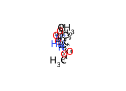 CCOC(=O)c1cc(-c2cccc(OC)c2[N+](=O)[O-])[nH]n1